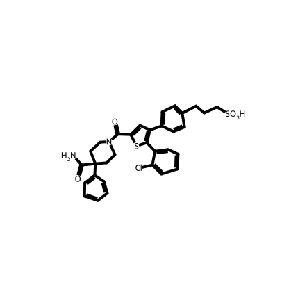 NC(=O)C1(c2ccccc2)CCN(C(=O)c2cc(-c3ccc(CCCS(=O)(=O)O)cc3)c(-c3ccccc3Cl)s2)CC1